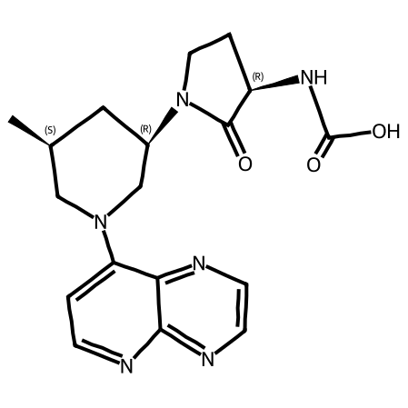 C[C@H]1C[C@@H](N2CC[C@@H](NC(=O)O)C2=O)CN(c2ccnc3nccnc23)C1